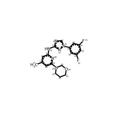 Cc1cc(Nc2ncn(-c3cc(F)cc(F)c3)n2)nc(N2CCCOC2)c1